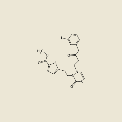 COC(=O)c1ccc(CCN2C(=O)SC=CN2CCC(=O)Cc2cccc(I)c2)s1